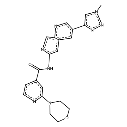 Cn1cc(-c2cnc3cnc(NC(=O)c4ccnc(N5CCOCC5)c4)cc3c2)nn1